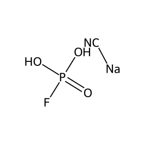 N#[C][Na].O=P(O)(O)F